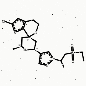 CCS(=O)(=O)CC(C)n1cc([C@@H]2C[C@]3(C[C@H](C)N2)OCCc2cc(Cl)sc23)cn1